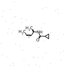 C=C(/C=C\C)NC(=O)C1CC1